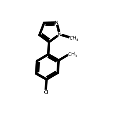 Cc1cc(Cl)ccc1-c1ccnn1C